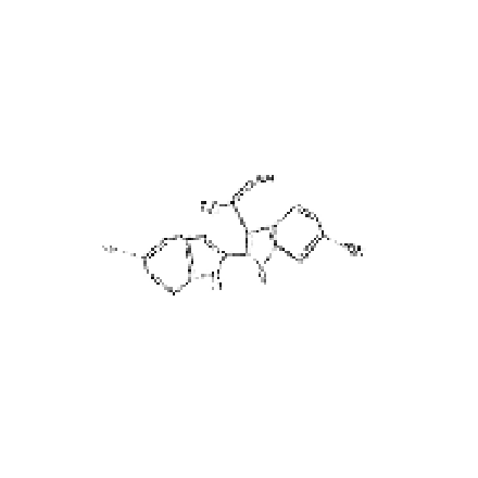 N=C(c1c(-c2cc3cc(Cl)ccc3[nH]2)[nH]c2cc(Br)ccc12)C(F)(F)F